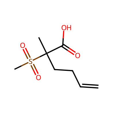 C=CCCC(C)(C(=O)O)S(C)(=O)=O